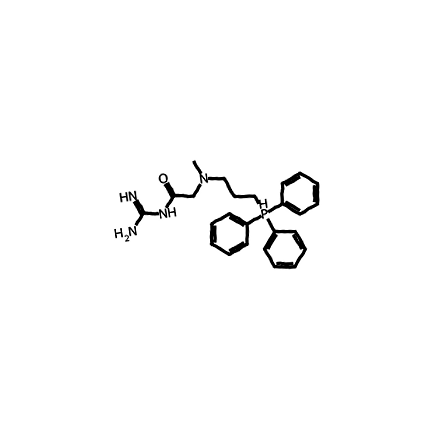 CN(CCC[PH](c1ccccc1)(c1ccccc1)c1ccccc1)CC(=O)NC(=N)N